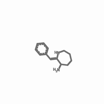 NC1CCCCNC1=Cc1ccccc1